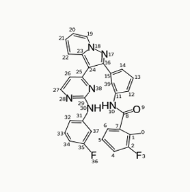 Cc1c(F)cccc1C(=O)Nc1cccc(-c2nn3ccccc3c2-c2ccnc(Nc3cccc(F)c3)n2)c1